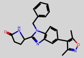 Cc1noc(C)c1-c1ccc2c(c1)nc(C1CCC(=O)N1)n2Cc1ccccc1